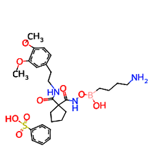 COc1ccc(CCNC(=O)C2(C(=O)NOB(O)CCCCN)CCCC2)cc1OC.O=S(=O)(O)c1ccccc1